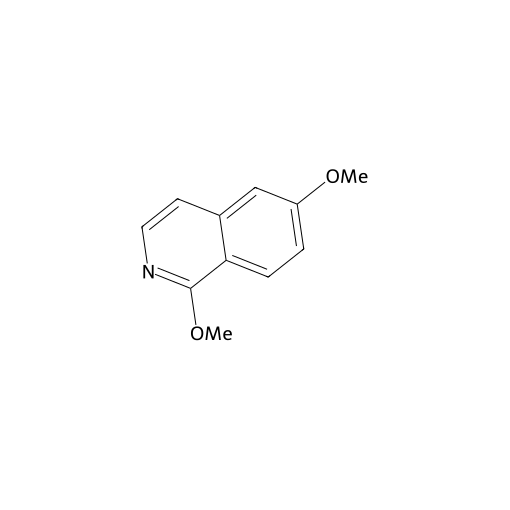 COc1ccc2c(OC)nccc2c1